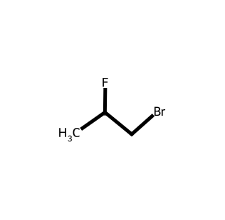 C[C](F)CBr